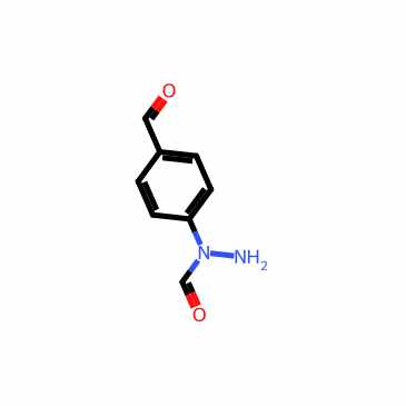 NN(C=O)c1ccc(C=O)cc1